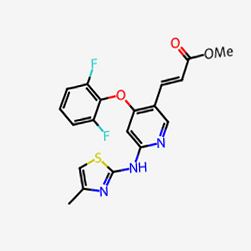 COC(=O)C=Cc1cnc(Nc2nc(C)cs2)cc1Oc1c(F)cccc1F